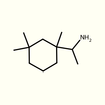 CC(N)C1(C)C[CH]CC(C)(C)C1